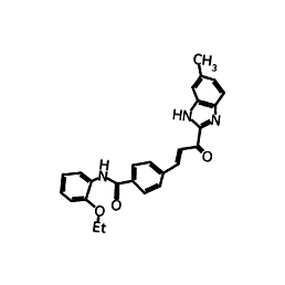 CCOc1ccccc1NC(=O)c1ccc(C=CC(=O)c2nc3ccc(C)cc3[nH]2)cc1